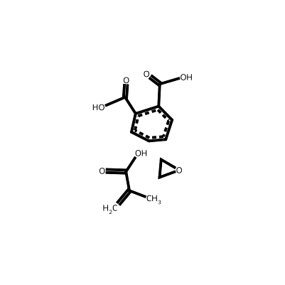 C1CO1.C=C(C)C(=O)O.O=C(O)c1ccccc1C(=O)O